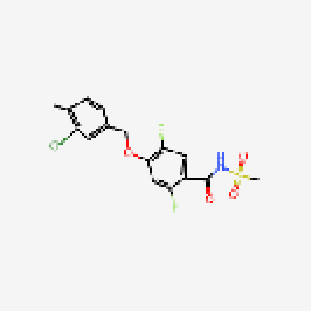 Cc1ccc(COc2cc(F)c(C(=O)NS(C)(=O)=O)cc2F)cc1Cl